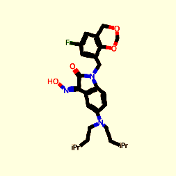 CC(C)CCN(CCC(C)C)c1ccc2c(c1)/C(=N/O)C(=O)N2Cc1cc(F)cc2c1OCOC2